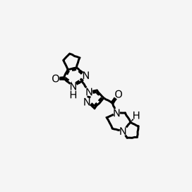 O=C(c1cnn(-c2nc3c(c(=O)[nH]2)CCC3)c1)N1CCN2CCC[C@@H]2C1